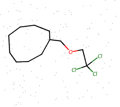 ClC(Cl)(Cl)COC[C]1CCCCCCCC1